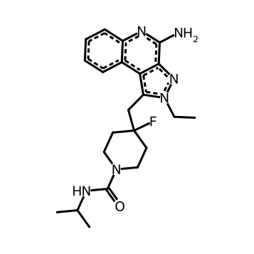 CCn1nc2c(N)nc3ccccc3c2c1CC1(F)CCN(C(=O)NC(C)C)CC1